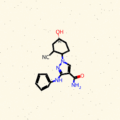 N#CC1C[C@H](O)CCC1n1cc(C(N)=O)c(Nc2ccccc2)n1